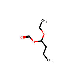 CCCC(O[C]=O)OCC